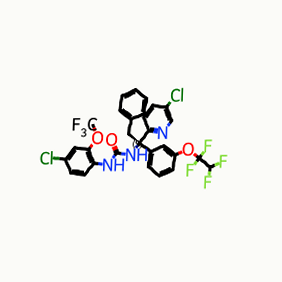 O=C(Nc1ccc(Cl)cc1OC(F)(F)F)N[C@@](Cc1ccccc1)(c1cccc(OC(F)(F)C(F)F)c1)c1ccc(Cl)cn1